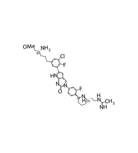 COC[C@H](N)CCCc1cc(Cl)c(F)c(-c2cc3cn(-c4ccc([C@@H]5CCC[C@@H](CCNC(C)=N)N5)c(F)c4)c(=O)nc3[nH]2)c1